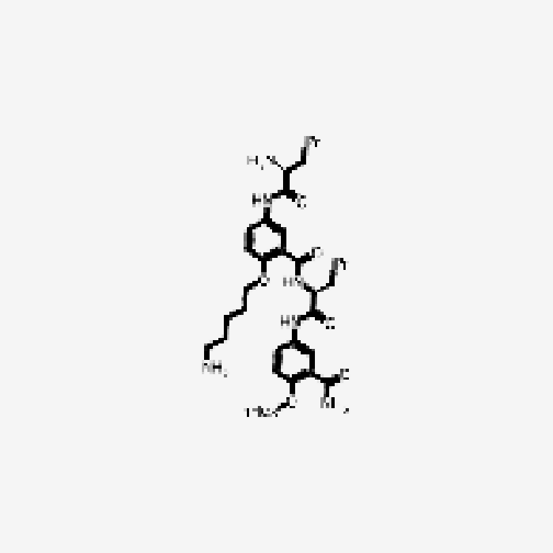 CCCCCCOc1ccc(NC(=O)[C@H](CC(C)C)NC(=O)c2cc(NC(=O)[C@H](N)CC(C)C)ccc2OCCCCCN)cc1C(N)=O